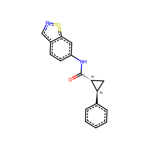 O=C(Nc1ccc2cnsc2c1)[C@@H]1C[C@H]1c1ccccc1